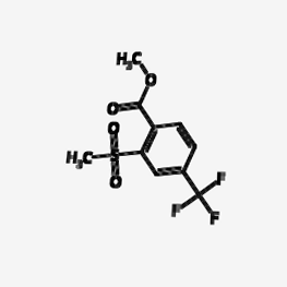 COC(=O)c1ccc(C(F)(F)F)cc1S(C)(=O)=O